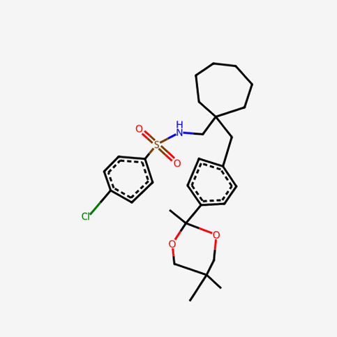 CC1(C)COC(C)(c2ccc(CC3(CNS(=O)(=O)c4ccc(Cl)cc4)CCCCCC3)cc2)OC1